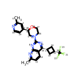 Cc1cc([C@@H]2CN(c3nc4nc(C)ccc4c([C@H]4C[C@@H](C(F)(F)F)C4)n3)CCO2)ccn1